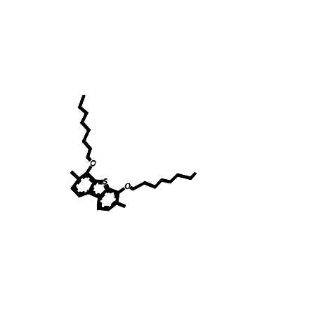 CCCCCCCCOc1c(C)ccc2c1sc1c(OCCCCCCCC)c(C)ccc12